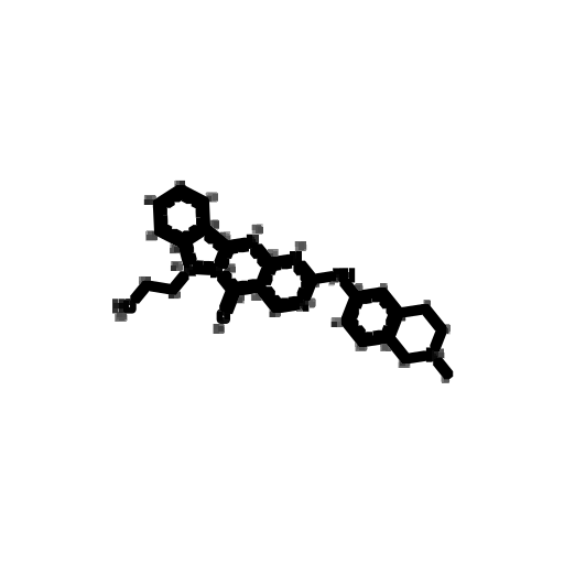 CN1CCc2cc(Nc3ncc4c(=O)n5c(nc4n3)c3ccccc3n5CCO)ccc2C1